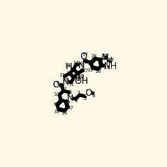 COCCCN1CC(C(=O)N2CC3[C@H]4CN(C(=O)c5ccc6[nH]nnc6c5)C[C@H]4C3(O)C2)Cc2ccccc21